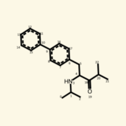 CC(C)NC(Cc1ccc(-c2ccccc2)cc1)C(=O)C(C)C